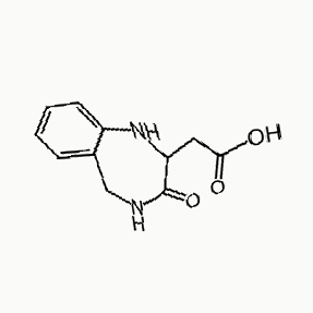 O=C(O)CC1Nc2ccccc2CNC1=O